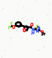 CC(C)Oc1nsc(NC(=O)c2coc(-c3cccc(OC(F)F)c3)c2)n1